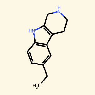 CCc1ccc2[nH]c3c(c2c1)CCNC3